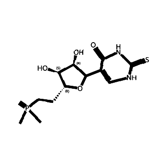 C=P(C)(C)CC[C@H]1OC(c2c[nH]c(=S)[nH]c2=O)[C@H](O)[C@@H]1O